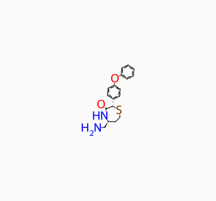 NC[C@@H]1CCS[C@@H](c2ccc(Oc3ccccc3)cc2)C(=O)N1